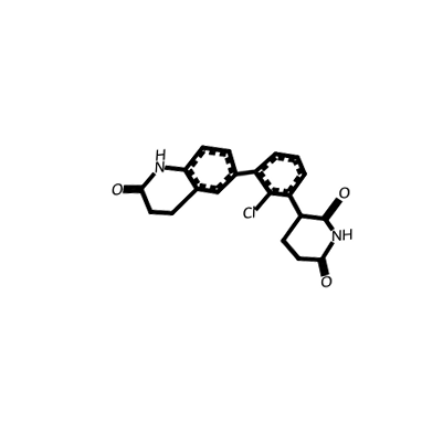 O=C1CCC(c2cccc(-c3ccc4c(c3)CCC(=O)N4)c2Cl)C(=O)N1